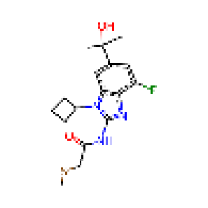 CSCC(=O)Nc1nc2c(F)cc(C(C)(C)O)cc2n1C1CCC1